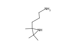 CC1(C)NC1(C)CCCN